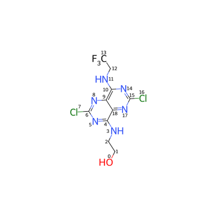 OCCNc1nc(Cl)nc2c(NCC(F)(F)F)nc(Cl)nc12